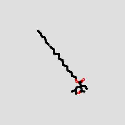 CCCCCCCCCCCCCCCCCCOC(=O)C(CC)(CC(C)C)C(C)=O